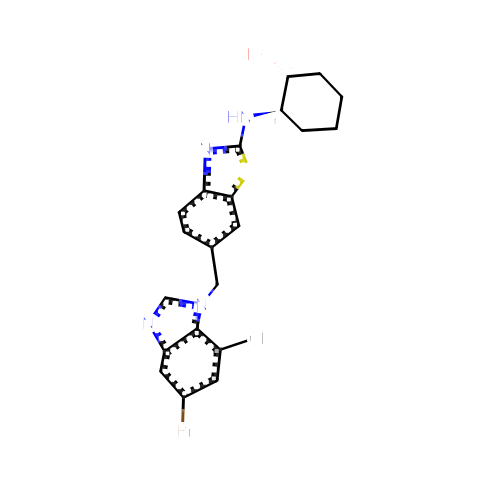 Cc1cc(Br)cc2ncn(Cc3ccc4nc(N[C@@H]5CCCC[C@H]5O)sc4c3)c12